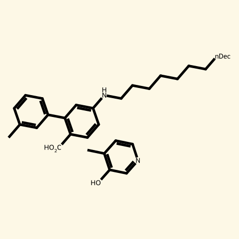 CCCCCCCCCCCCCCCCCNc1ccc(C(=O)O)c(-c2cccc(C)c2)c1.Cc1ccncc1O